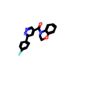 O=C(c1cnnc(-c2ccc(F)cc2)c1)N1CCOc2ccccc21